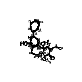 C[C@H]1C(=O)C(C=O)C[C@@]2(C)c3nc(-c4ccncc4)nc(O)c3CC[C@H]12